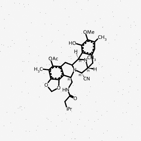 COc1c(C)cc2c(c1O)[C@@H]1C3Cc4c(OC(C)=O)c(C)c5c(c4[C@H](CNC(=O)CC(C)C)N3[C@@H](C#N)[C@@H](C2)N1C)OCO5